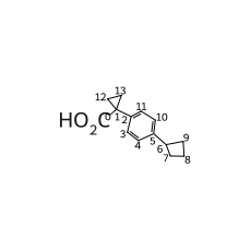 O=C(O)C1(c2ccc(C3CCC3)cc2)CC1